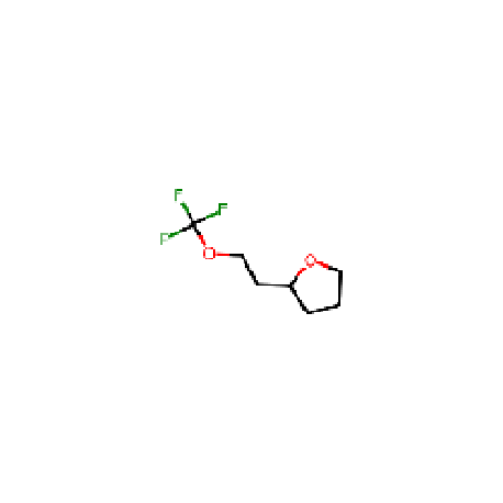 FC(F)(F)OCCC1CCCO1